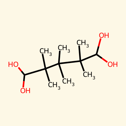 CC(C)(C(O)O)C(C)(C)C(C)(C)C(O)O